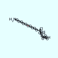 NCCOCCOCCOCCOCCOCCOCCOCCOCCOCCOCCc1cc(Cl)cc(NC(=O)NCc2ccc3c(c2)CN(C2CCC(=O)NC2=O)C3=O)c1